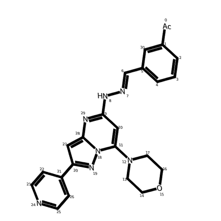 CC(=O)c1cccc(/C=N/Nc2cc(N3CCOCC3)n3nc(-c4ccncc4)cc3n2)c1